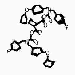 O=C(OC(=O)N(Cc1ccc(F)cc1)Cc1ccc(Oc2ccccc2)cc1)C1CCC1C(=O)OC(=O)N(Cc1ccc(F)cc1)Cc1ccc(Oc2ccccc2)cc1